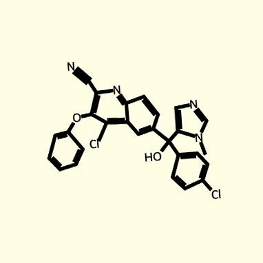 Cn1cncc1C(O)(c1ccc(Cl)cc1)c1ccc2nc(C#N)c(Oc3ccccc3)c(Cl)c2c1